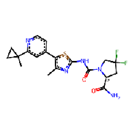 Cc1nc(NC(=O)N2CC(F)(F)C[C@H]2C(N)=O)sc1-c1ccnc(C2(C)CC2)c1